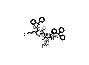 O=C(OC(c1ccccc1)c1ccccc1)C1=C(/C=C/CCl)CS[C@H]2[C@H](NC(=O)/C(=N\OC(F)F)c3csc(NC(c4ccccc4)(c4ccccc4)c4ccccc4)n3)C(=O)N12